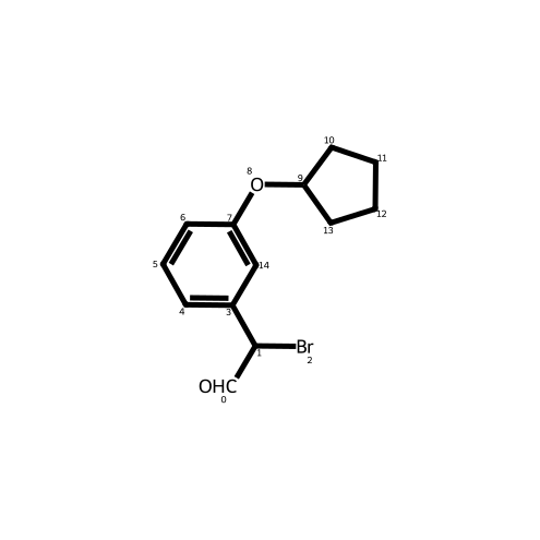 O=CC(Br)c1cccc(OC2CCCC2)c1